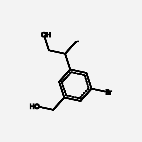 [CH2]C(CO)c1cc(Br)cc(CO)c1